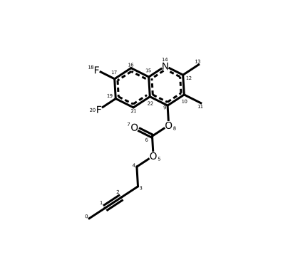 CC#CCCOC(=O)Oc1c(C)c(C)nc2cc(F)c(F)cc12